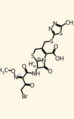 CO/N=C(/C(=O)CBr)C(=O)N[C@@H]1C(=O)N2C(C(=O)O)=C(CSc3nnc(C)s3)CS[C@H]12